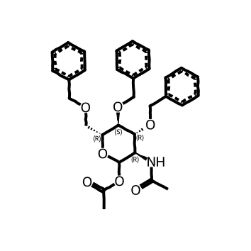 CC(=O)N[C@H]1C(OC(C)=O)O[C@H](COCc2ccccc2)[C@@H](OCc2ccccc2)[C@@H]1OCc1ccccc1